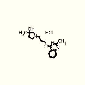 Cc1nc(OCCCN2CCC(C)(O)C2)c2ccccc2n1.Cl